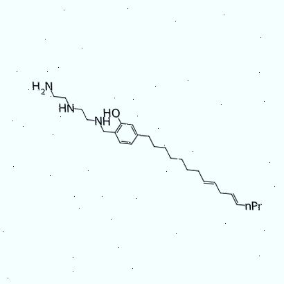 CCCC=CC/C=C/CCCCCCCc1ccc(CNCCNCCN)c(O)c1